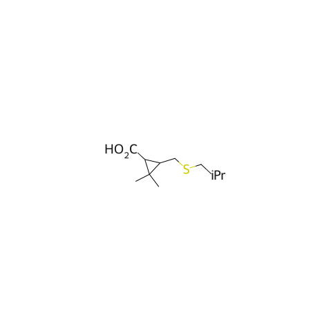 CC(C)CSCC1C(C(=O)O)C1(C)C